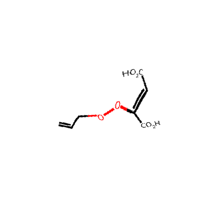 C=CCOOC(=CC(=O)O)C(=O)O